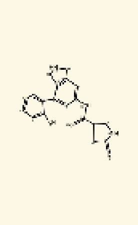 N#Cc1ccccc1-c1cc(NC(=O)C2CNC(=O)C2)cc2c1CNC2